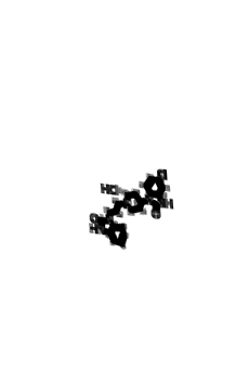 Cl.O=c1[nH]c2ccccc2n1CCCN1CCC(n2c(=O)[nH]c3cc(Cl)ccc32)CC1